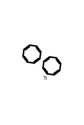 C1=CC=CC=CC=C1.C1=CC=CC=CC=C1.[Ti]